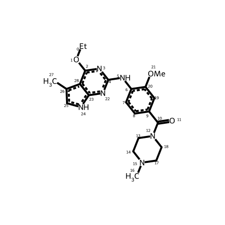 CCOc1nc(Nc2ccc(C(=O)N3CCN(C)CC3)cc2OC)nc2[nH]cc(C)c12